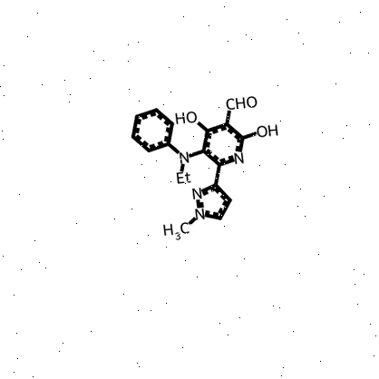 CCN(c1ccccc1)c1c(-c2ccn(C)n2)nc(O)c(C=O)c1O